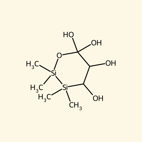 C[Si]1(C)OC(O)(O)C(O)C(O)[Si]1(C)C